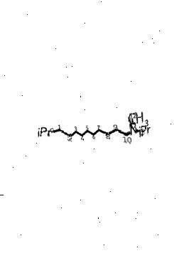 CC(C)CCCCCCCCCCN(C)C(C)C